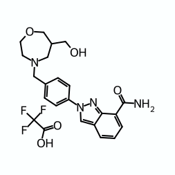 NC(=O)c1cccc2cn(-c3ccc(CN4CCOCC(CO)C4)cc3)nc12.O=C(O)C(F)(F)F